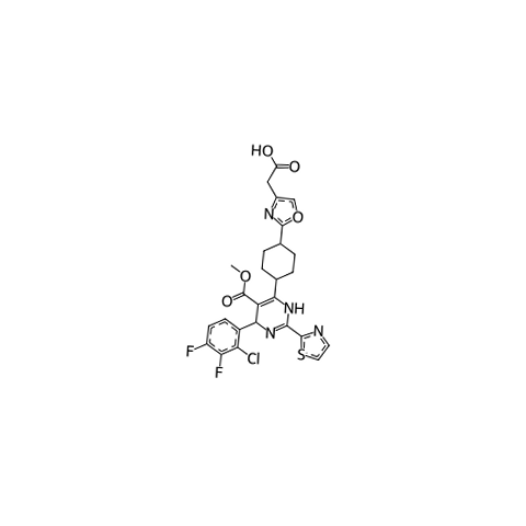 COC(=O)C1=C(C2CCC(c3nc(CC(=O)O)co3)CC2)NC(c2nccs2)=NC1c1ccc(F)c(F)c1Cl